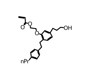 C=CC(=O)OCCOc1cc(CCCO)ccc1CCc1ccc(CCC)cc1